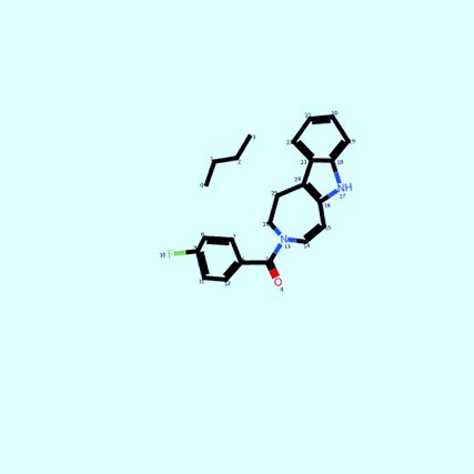 CCCC.O=C(c1ccc(F)cc1)N1C=Cc2[nH]c3ccccc3c2CC1